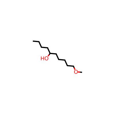 CCCCC(O)CCCCCOC